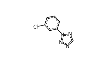 Clc1cccc(-n2ncnn2)c1